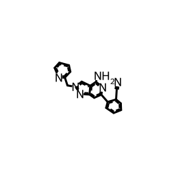 N#Cc1ccccc1-c1cc2nn(Cc3ccccn3)cc2c(N)n1